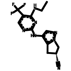 CCNc1nc(Nc2cnn3c2C[C@@H](C#N)C3)ncc1C(F)(F)F